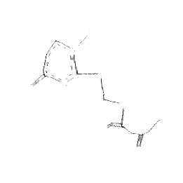 C=C(C)C(=O)OCSc1[nH]c(=O)cc[n+]1CC